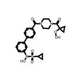 O=C(c1ccc(-c2cccc(N(O)S(=O)(=O)C3CC3)c2)cc1)N1CCN(C(=O)C2(OO)CC2)CC1